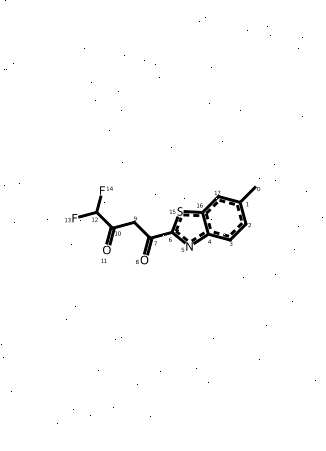 Cc1ccc2nc(C(=O)CC(=O)C(F)F)sc2c1